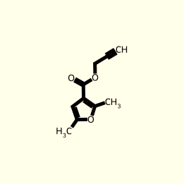 C#CCOC(=O)c1cc(C)oc1C